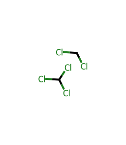 ClC(Cl)Cl.ClCCl